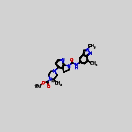 Cc1cc(NC(=O)N2CCc3c(N4CCN(C(=O)OC(C)(C)C)[C@H](C)C4)ccnc32)cc2cn(C)nc12